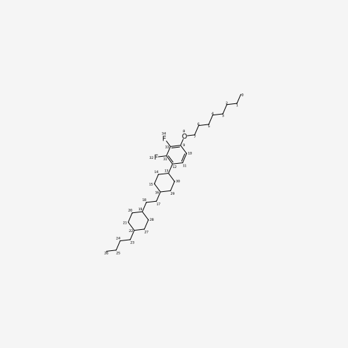 CCCCCCCCOc1ccc(C2CCC(CCC3CCC(CCCC)CC3)CC2)c(F)c1F